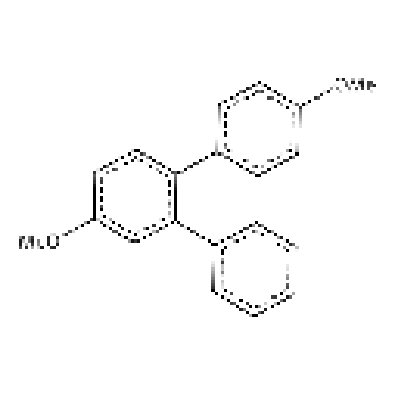 COc1ccc(-c2ccc(OC)cc2-c2ccccc2)cc1